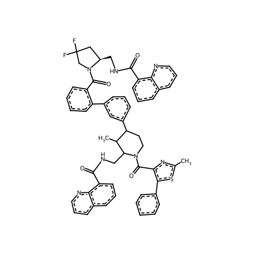 Cc1nc(C(=O)N2CCC(c3cccc(-c4ccccc4C(=O)N4CC(F)(F)C[C@H]4CNC(=O)c4cccc5cccnc45)c3)C(C)C2CNC(=O)c2cccc3cccnc23)c(-c2ccccc2)s1